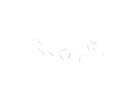 Cn1nccc1C1CCCC1Cc1ccc(/C=C/C(F)=N\C=N)cc1F